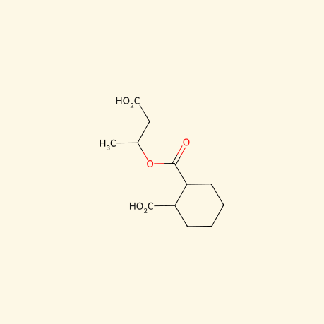 CC(CC(=O)O)OC(=O)C1CCCCC1C(=O)O